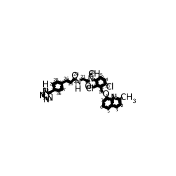 Cc1ccc2cccc(OCc3c(Cl)ccc(N(C)C(=O)CNC(=O)C=Cc4ccc(-c5nnn[nH]5)cc4)c3Cl)c2n1